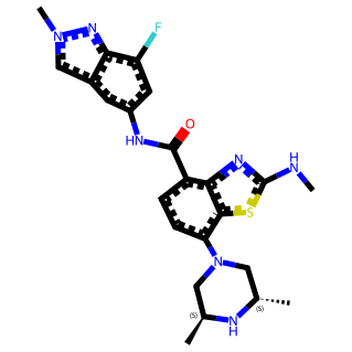 CNc1nc2c(C(=O)Nc3cc(F)c4nn(C)cc4c3)ccc(N3C[C@H](C)N[C@@H](C)C3)c2s1